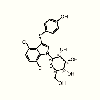 OC[C@H]1O[C@@H](n2cc(Sc3ccc(O)cc3)c3c(Cl)ccc(Cl)c32)[C@H](O)[C@@H](O)[C@@H]1O